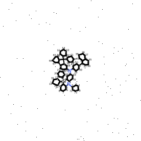 c1ccc(N2c3ccccc3[Si](c3ccccc3)(c3ccccc3)c3cc(N(c4ccc(-c5cccc6ccccc56)cc4)c4ccc5c(c4)C(c4ccccc4)(c4ccccc4)c4ccccc4-5)ccc32)cc1